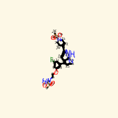 CS(=O)(=O)NCCOc1cc(F)cc(-c2ccnc3[nH]c(C4=CCN(S(C)(=O)=O)CC4)cc23)c1